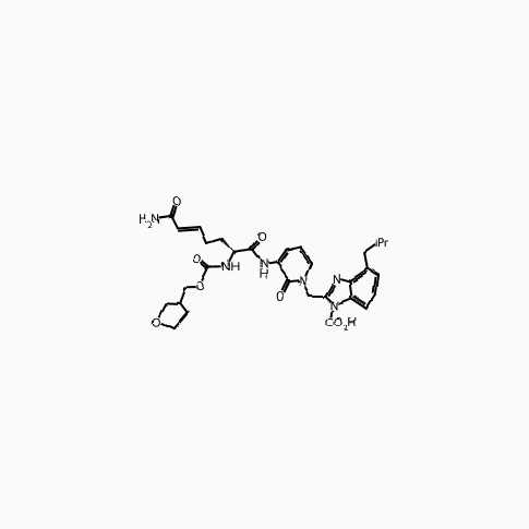 CC(C)Cc1cccc2c1nc(Cn1cccc(NC(=O)[C@H](CC/C=C/C(N)=O)NC(=O)OCC3CCOC3)c1=O)n2C(=O)O